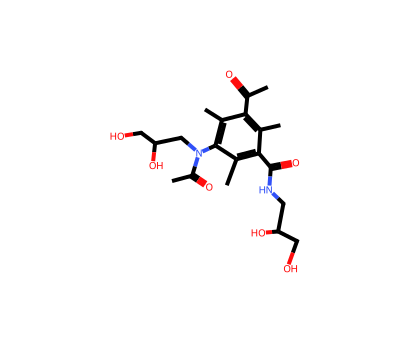 CC(=O)c1c(C)c(C(=O)NCC(O)CO)c(C)c(N(CC(O)CO)C(C)=O)c1C